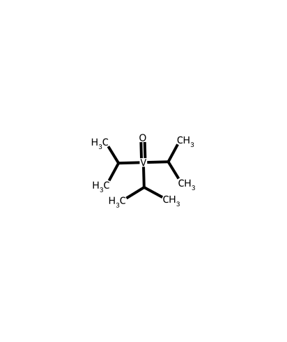 C[CH](C)[V](=[O])([CH](C)C)[CH](C)C